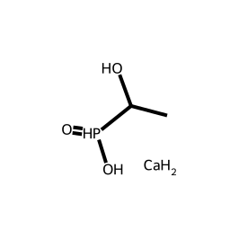 CC(O)[PH](=O)O.[CaH2]